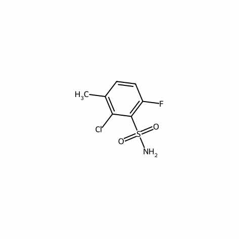 Cc1ccc(F)c(S(N)(=O)=O)c1Cl